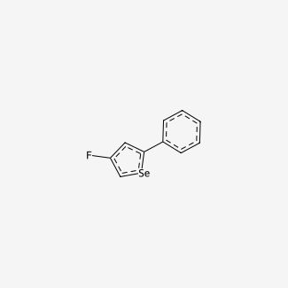 Fc1c[se]c(-c2ccccc2)c1